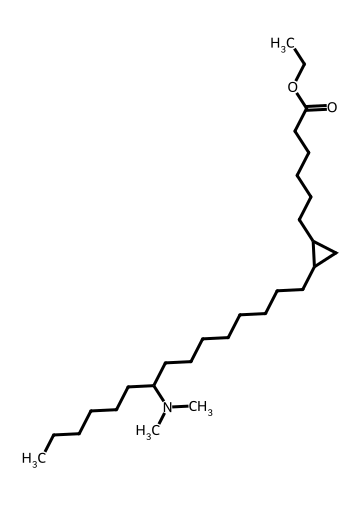 CCCCCCC(CCCCCCCCC1CC1CCCCCC(=O)OCC)N(C)C